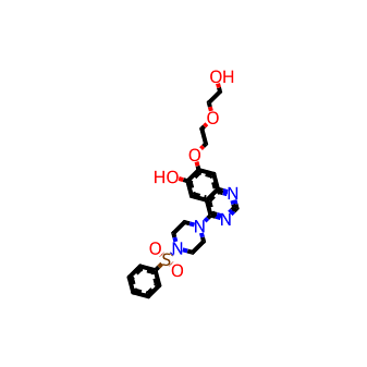 O=S(=O)(c1ccccc1)N1CCN(c2ncnc3cc(OCCOCCO)c(O)cc23)CC1